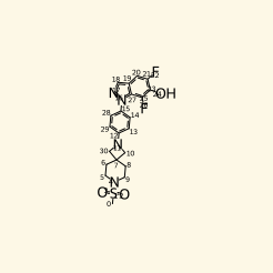 CS(=O)(=O)N1CCC2(CC1)CN(c1ccc(-n3ncc4cc(F)c(O)c(F)c43)cc1)C2